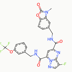 Cn1c(=O)oc2ccc(CNC(=O)c3cc(C(=O)NCc4cccc(OC(F)(F)F)c4)n4ncc(F)c4n3)cc21